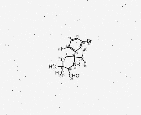 CC1(C)OCC(c2cc(Br)ccc2F)(C(F)F)NC1C=O